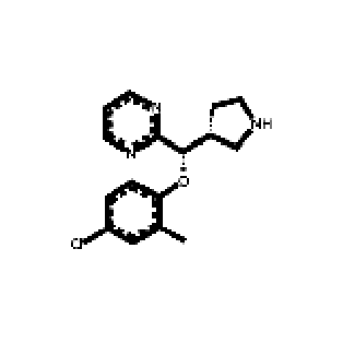 Cc1cc(Cl)ccc1O[C@H](c1ncccn1)[C@@H]1CCNC1